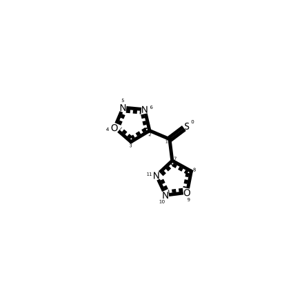 S=C(c1conn1)c1conn1